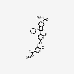 COC(=O)c1ccc2c(c1)nc(-c1ccc(OCc3cc(C(=O)OC(C)(C)C)ccc3Cl)cc1F)n2C1CCCCC1